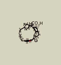 O=C(O)C[C@@H]1c2cnc(nc2)CCCCCCc2ccc(cc2)C(=O)N2CCc3ccc1cc3C2